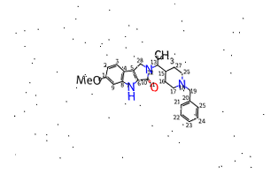 COc1ccc2c3c([nH]c2c1)C(=O)N(C(C)C1CCN(Cc2ccccc2)CC1)C3